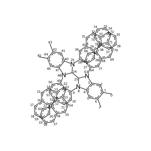 Cc1cc2c(cc1C)N(c1ccc3c(ccc4ccccc43)c1)C(C1N(c3ccc4c(ccc5ccccc54)c3)c3cc(C)c(C)cc3N1c1ccc3c(ccc4ccccc43)c1)N2c1ccc2c(ccc3ccccc32)c1